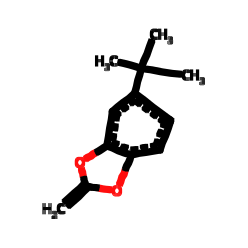 C=C1Oc2ccc(C(C)(C)C)cc2O1